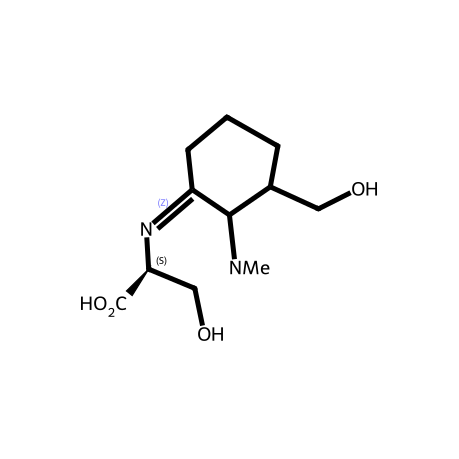 CNC1/C(=N\[C@@H](CO)C(=O)O)CCCC1CO